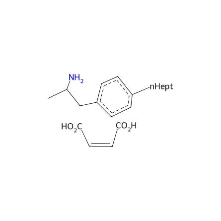 CCCCCCCc1ccc(CC(C)N)cc1.O=C(O)/C=C\C(=O)O